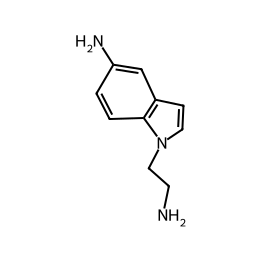 NCCn1ccc2cc(N)ccc21